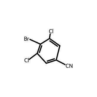 N#Cc1cc(Cl)c(Br)c(Cl)c1